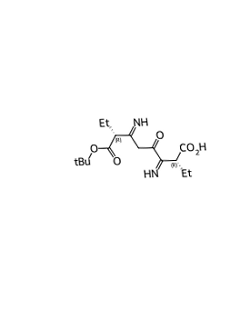 CC[C@H](C(=N)C(=O)CC(=N)[C@@H](CC)C(=O)OC(C)(C)C)C(=O)O